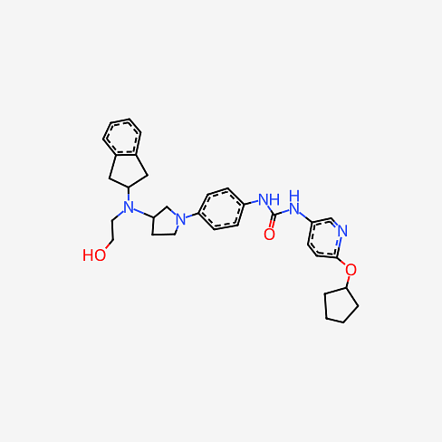 O=C(Nc1ccc(N2CCC(N(CCO)C3Cc4ccccc4C3)C2)cc1)Nc1ccc(OC2CCCC2)nc1